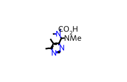 CNC(c1ncnc(C)c1C)N(C)C(=O)O